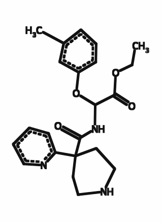 CCOC(=O)C(NC(=O)C1(c2ccccn2)CCNCC1)Oc1cccc(C)c1